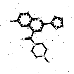 Cc1ccc2nc(-c3cccs3)cc(C(=O)N3CCN(C)CC3)c2c1